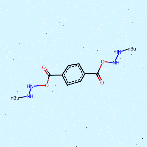 CCCCNNOC(=O)c1ccc(C(=O)ONNCCCC)cc1